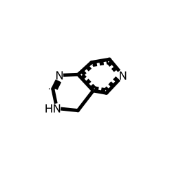 [C]1=Nc2ccncc2CN1